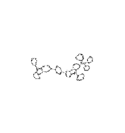 c1ccc(-n2c3ccccc3c3cc(-c4ccc(-c5ccc6c(c5)c5ccc([Si](c7ccccc7)(c7ccccc7)c7ccccc7)cc5n6-c5ccccc5)cc4)ccc32)cc1